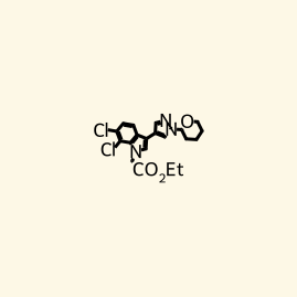 CCOC(=O)Cn1cc(-c2cnn(C3CCCCO3)c2)c2ccc(Cl)c(Cl)c21